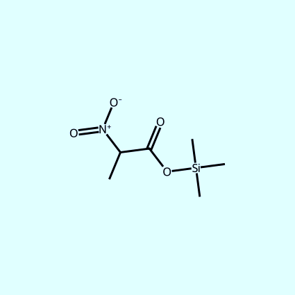 CC(C(=O)O[Si](C)(C)C)[N+](=O)[O-]